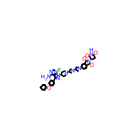 Nc1ncnc2c1c(-c1ccc(Oc3ccccc3)cc1)nn2[C@H]1CCN(C2CN(C3CN(c4ccc5c(c4)C(=O)N(C4CCC(=O)NC4=O)C5=O)C3)C2)C[C@@H]1F